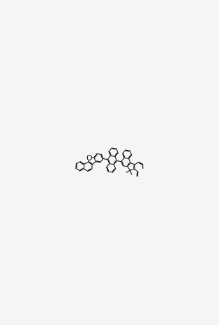 C=CC1=C(/C=C\C)c2c(cc(-c3c4ccccc4c(-c4ccc5oc6c7ccccc7ccc6c5c4)c4ccccc34)c3ccccc23)C1(C)C